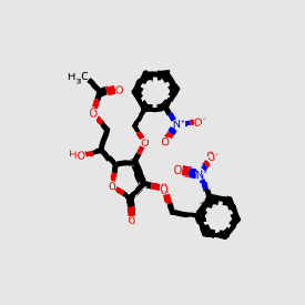 CC(=O)OCC(O)C1OC(=O)C(OCc2ccccc2[N+](=O)[O-])=C1OCc1ccccc1[N+](=O)[O-]